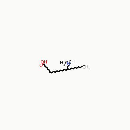 CCCCCCCCCC(CCCCCCCC/C=C\CCCCCC(=O)O)CCN(C)C